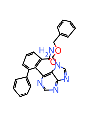 NC(=O)c1cccc(-c2ccccc2)c1-c1ncnc2ncn(COCc3ccccc3)c12